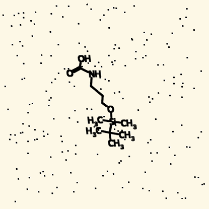 CC(C)(C)[Si](C)(C)OCCCNC(=O)O